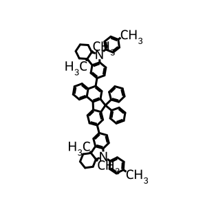 Cc1ccc(N2c3ccc(-c4ccc5c(c4)C(c4ccccc4)(c4ccccc4)c4cc(-c6ccc7c(c6)C6(C)CCCCC6(C)N7c6ccc(C)cc6)c6ccccc6c4-5)cc3C3(C)CCCCC23C)cc1